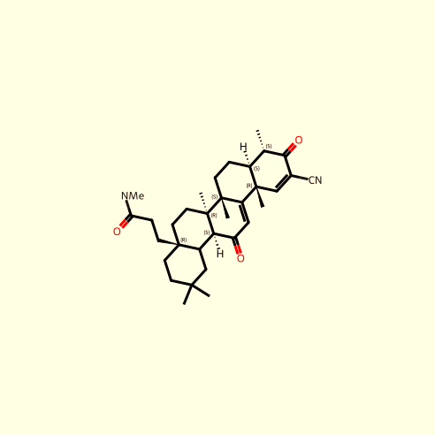 CNC(=O)CC[C@]12CCC(C)(C)CC1[C@@H]1C(=O)C=C3[C@@]4(C)C=C(C#N)C(=O)[C@@H](C)[C@@H]4CC[C@@]3(C)[C@]1(C)CC2